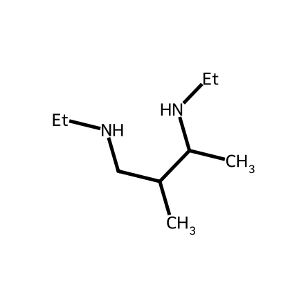 CCNCC(C)C(C)NCC